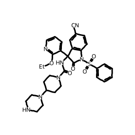 CCOc1ncccc1C1(NC(=O)N2CCC(N3CCNCC3)CC2)C(=O)N(S(=O)(=O)c2ccccc2)c2ccc(C#N)cc21